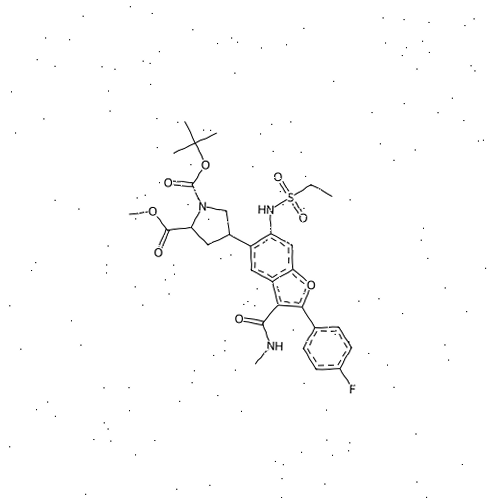 CCS(=O)(=O)Nc1cc2oc(-c3ccc(F)cc3)c(C(=O)NC)c2cc1C1CC(C(=O)OC)N(C(=O)OC(C)(C)C)C1